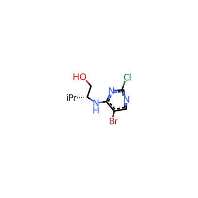 CC(C)[C@H](CO)Nc1nc(Cl)ncc1Br